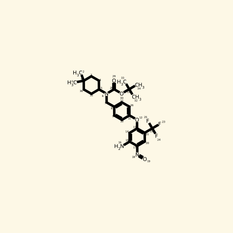 CC1(C)CCC(N(Cc2ccc(Oc3cc(N)c(N=O)cc3C(F)(F)F)cc2)C(=O)OC(C)(C)C)CC1